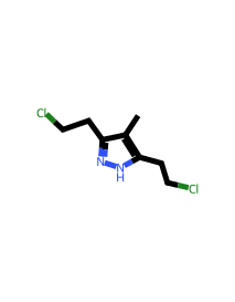 Cc1c(CCCl)n[nH]c1CCCl